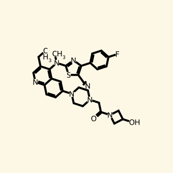 CCc1cnc2ccc(N3CCN(CC(=O)N4CC(O)C4)CC3)cc2c1N(C)c1nc(-c2ccc(F)cc2)c(C#N)s1